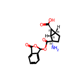 N[C@@]1(C(=O)OC2OC(=O)c3ccccc32)CC[C@H]2[C@H](C(=O)O)[C@H]21